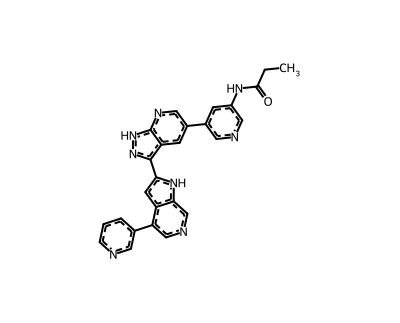 CCC(=O)Nc1cncc(-c2cnc3[nH]nc(-c4cc5c(-c6cccnc6)cncc5[nH]4)c3c2)c1